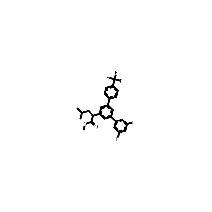 COC(=O)C(CC(C)C)c1cc(-c2ccc(C(F)(F)F)cc2)cc(-c2cc(F)cc(F)c2)c1